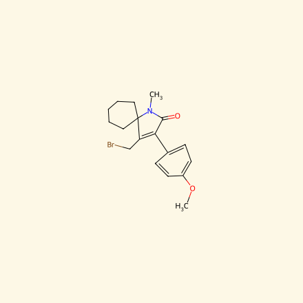 COc1ccc(C2=C(CBr)C3(CCCCC3)N(C)C2=O)cc1